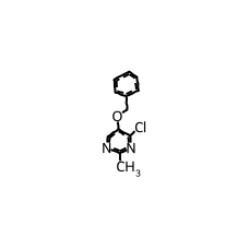 Cc1ncc(OCc2ccccc2)c(Cl)n1